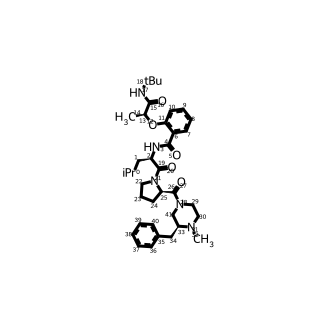 CC(C)C[C@@H](NC(=O)c1ccccc1O[C@@H](C)C(=O)NC(C)(C)C)C(=O)N1CCC[C@@H]1C(=O)N1CCN(C)[C@@H](Cc2ccccc2)C1